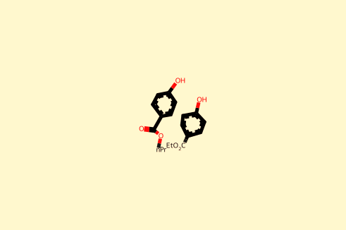 CCCOC(=O)c1ccc(O)cc1.CCOC(=O)c1ccc(O)cc1